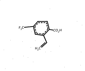 C=Cc1cc(C(F)(F)F)ccc1C(=O)O